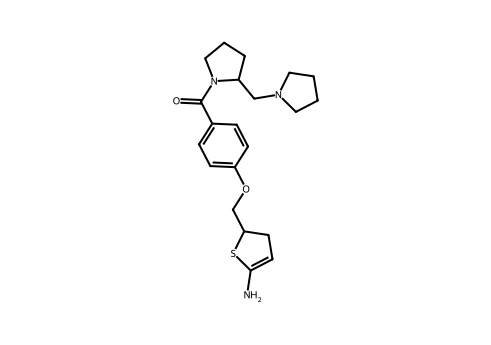 NC1=CCC(COc2ccc(C(=O)N3CCCC3CN3CCCC3)cc2)S1